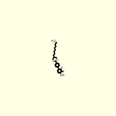 CCCCCCCCCC1COC(c2ccc(-c3ccc(O)c(F)c3F)cc2)OC1